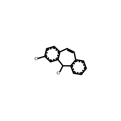 Clc1ccc2c(c1)C(Cl)c1ccccc1C=C2